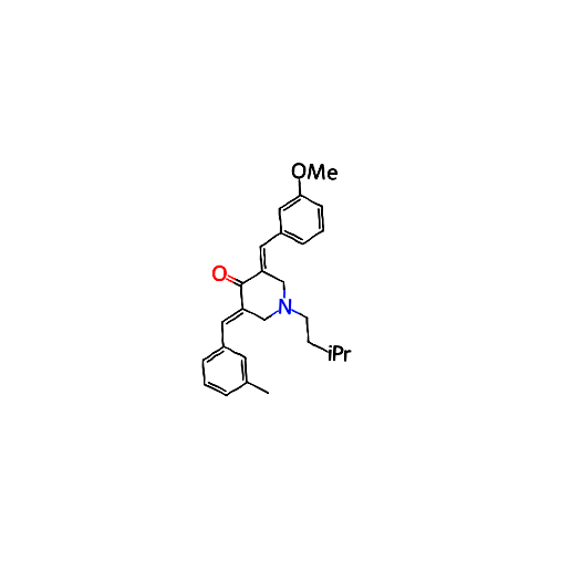 COc1cccc(/C=C2\CN(CCC(C)C)C/C(=C\c3cccc(C)c3)C2=O)c1